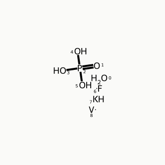 O.O=P(O)(O)O.[F].[KH].[V]